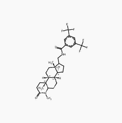 CN1C(=O)CC[C@@]2(C)C1CC[C@@H]1[C@H]2CC[C@]2(C)C(CNC(=O)c3cc(C(F)(F)F)cc(C(F)(F)F)c3)CC[C@@H]12